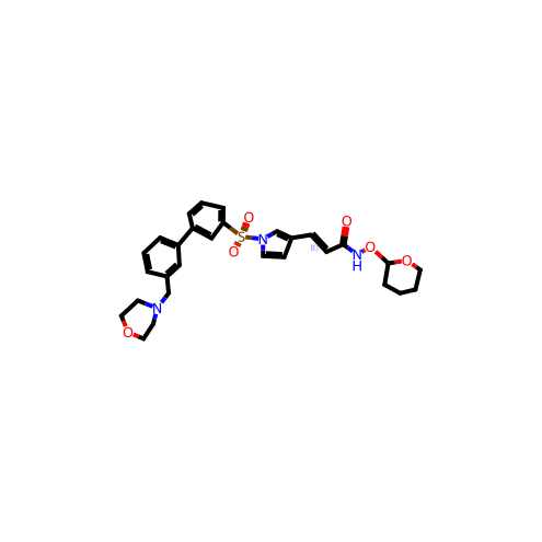 O=C(/C=C/c1ccn(S(=O)(=O)c2cccc(-c3cccc(CN4CCOCC4)c3)c2)c1)NOC1CCCCO1